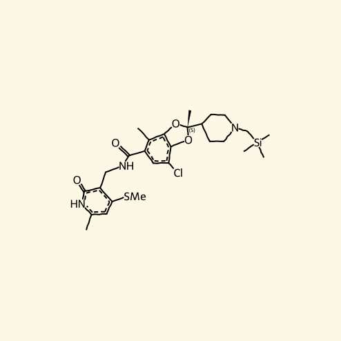 CSc1cc(C)[nH]c(=O)c1CNC(=O)c1cc(Cl)c2c(c1C)O[C@](C)(C1CCN(C[Si](C)(C)C)CC1)O2